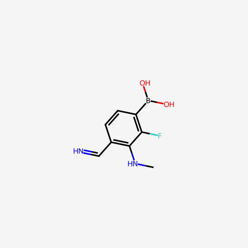 CNc1c(C=N)ccc(B(O)O)c1F